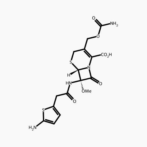 CO[C@@]1(NC(=O)Cc2ccc(N)s2)C(=O)N2C(C(=O)O)=C(COC(N)=O)CS[C@H]21